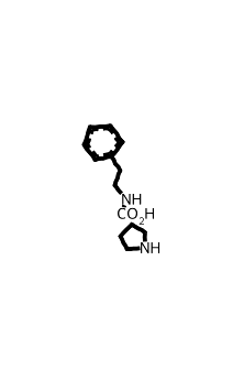 C1CCNC1.O=C(O)NCCc1ccccc1